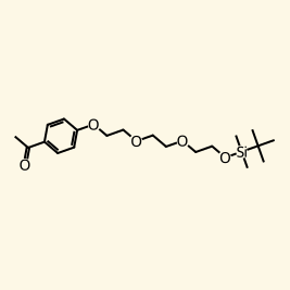 CC(=O)c1ccc(OCCOCCOCCO[Si](C)(C)C(C)(C)C)cc1